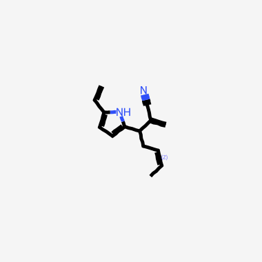 C=Cc1ccc(C(C/C=C\C)C(=C)C#N)[nH]1